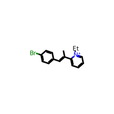 CC[n+]1ccccc1C(C)=Cc1ccc(Br)cc1